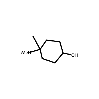 CNC1(C)CCC(O)CC1